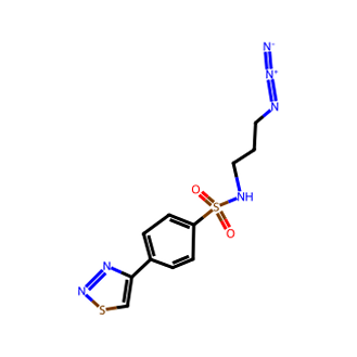 [N-]=[N+]=NCCCNS(=O)(=O)c1ccc(-c2csnn2)cc1